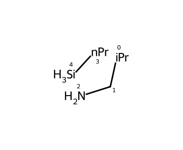 CC(C)CN.CCC[SiH3]